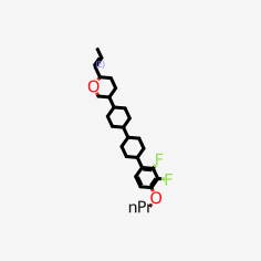 C/C=C/C1CCC(C2CCC(C3CCC(c4ccc(OCCC)c(F)c4F)CC3)CC2)CO1